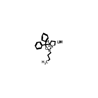 CCCCB1OC(c2ccccc2)(c2ccccc2)[C@@H]2CCC=[N+]12.[H-].[LiH]